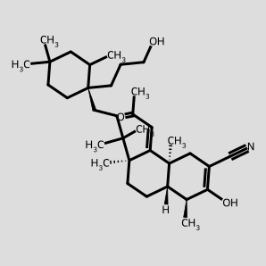 CC(=O)/C=C1/[C@@]2(C)CC(C#N)=C(O)[C@@H](C)[C@@H]2CC[C@@]1(C)C(C)(C)CC[C@@]1(CCCO)CCC(C)(C)CC1C